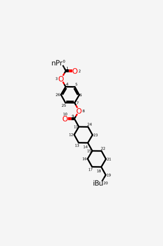 CCCC(=O)Oc1ccc(OC(=O)C2CCC(C3CCC(CC(C)CC)CC3)CC2)cc1